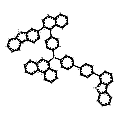 c1ccc2c(-c3ccc(N(c4ccc(-c5ccc(-c6cccc7c6oc6ccccc67)cc5)cc4)c4cc5ccccc5c5ccccc45)cc3)c(-c3ccc4c(c3)oc3ccccc34)ccc2c1